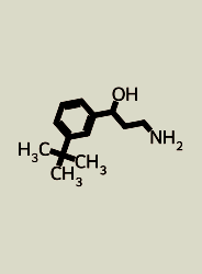 CC(C)(C)c1cccc(C(O)CCN)c1